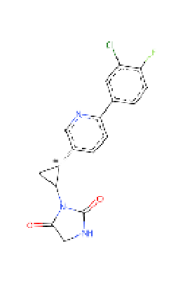 O=C1CNC(=O)N1C1C[C@@H]1c1ccc(-c2ccc(F)c(Cl)c2)nc1